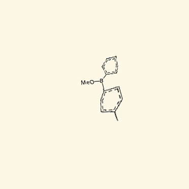 COB(c1ccccc1)c1ccc(C)cc1